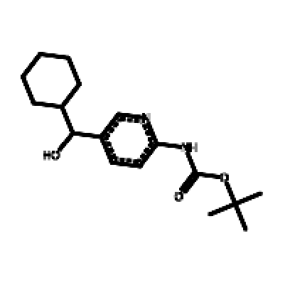 CC(C)(C)OC(=O)Nc1ccc(C(O)C2CCCCC2)cn1